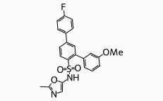 COc1cccc(-c2cc(-c3ccc(F)cc3)ccc2S(=O)(=O)Nc2cnc(C)o2)c1